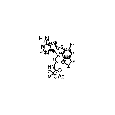 CC(=O)OC(C)(C)C(=O)NCCCn1c(Sc2cc3c(cc2I)CCO3)nc2c(N)ncnc21